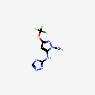 Cn1nc(OC(F)(F)Cl)cc1NC1=NN=C[N]1